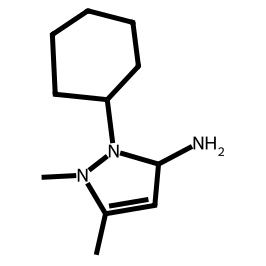 CC1=CC(N)N(C2CCCCC2)N1C